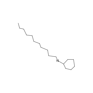 CCCCCCCCCCC[N]C1CCCCC1